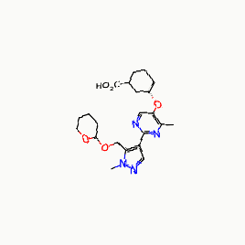 Cc1nc(-c2cnn(C)c2COC2CCCCO2)ncc1O[C@H]1CCCC(C(=O)O)C1